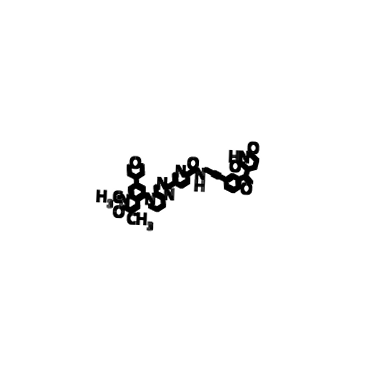 Cc1cc2c(N3CCCc4nc(-c5ccc(C(=O)NCC#Cc6ccc7occ(C8CCC(=O)NC8=O)c7c6)nc5)ncc43)cc(C3CCOCC3)cc2n(C)c1=O